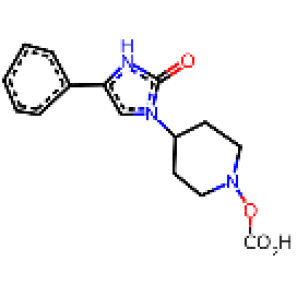 O=C(O)ON1CCC(n2cc(-c3ccccc3)[nH]c2=O)CC1